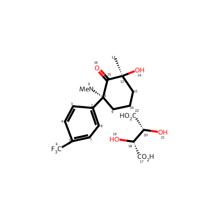 CN[C@@]1(c2ccc(C(F)(F)F)cc2)CCC[C@](C)(O)C1=O.O=C(O)[C@H](O)[C@@H](O)C(=O)O